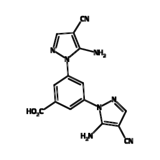 N#Cc1cnn(-c2cc(C(=O)O)cc(-n3ncc(C#N)c3N)c2)c1N